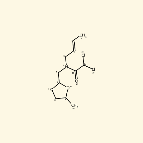 CC=CCN(CC1OCC(C)O1)C(=O)C(Cl)Cl